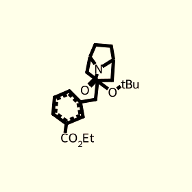 CCOC(=O)c1cccc(CC2CC3CCC(C2)N3C(=O)OC(C)(C)C)c1